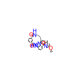 C[C@H]1CCCCNC(=O)c2cccc(c2)C(=O)/N=C2\Nc3cccc(C(=O)N4CC(OC5CC5)C4)c3N21